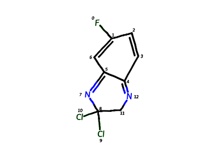 Fc1ccc2c(c1)=NC(Cl)(Cl)CN=2